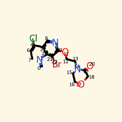 C=Nc1c(/C(Cl)=C\C)cnc(OCCN2CCOCC2=O)c1Br